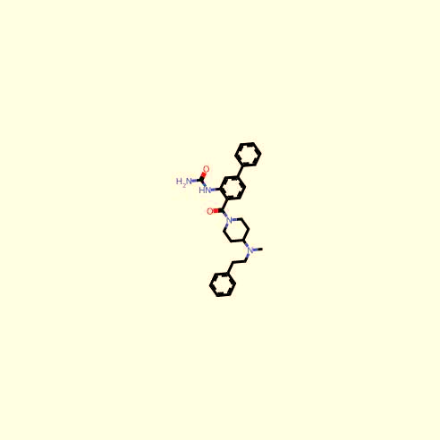 CN(CCc1ccccc1)C1CCN(C(=O)c2ccc(-c3ccccc3)cc2NC(N)=O)CC1